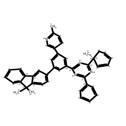 Cc1ccc(-c2cc(-c3ccc4c(c3)-c3ccccc3C4(C)C)cc(-c3nc(-c4ccccc4)nc([C@]4(C)C=CC=CC4)n3)c2)cn1